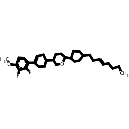 CCCC/C=C/CCC1CCC(C2CCC(C3CC=C(c4ccc(OC)c(F)c4F)CC3)CO2)CC1